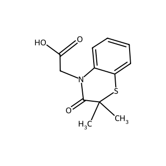 CC1(C)Sc2ccccc2N(CC(=O)O)C1=O